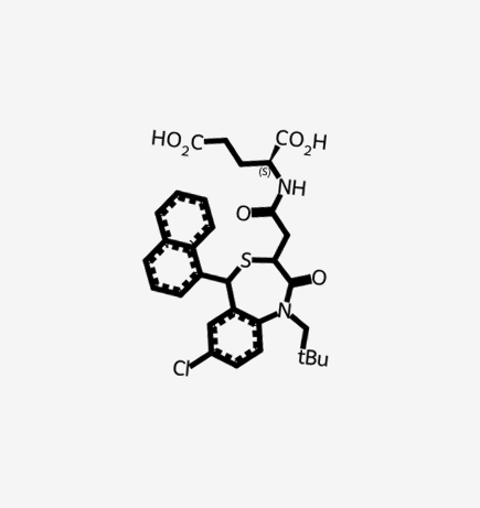 CC(C)(C)CN1C(=O)C(CC(=O)N[C@@H](CCC(=O)O)C(=O)O)SC(c2cccc3ccccc23)c2cc(Cl)ccc21